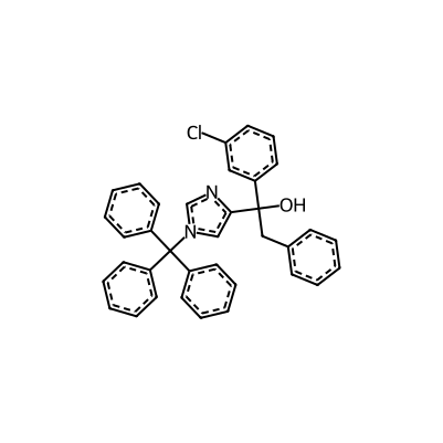 OC(Cc1ccccc1)(c1cccc(Cl)c1)c1cn(C(c2ccccc2)(c2ccccc2)c2ccccc2)cn1